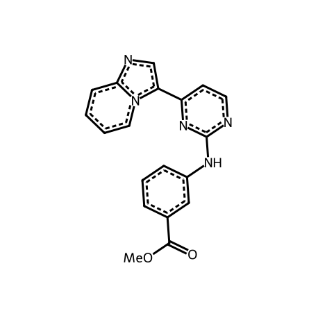 COC(=O)c1cccc(Nc2nccc(-c3cnc4ccccn34)n2)c1